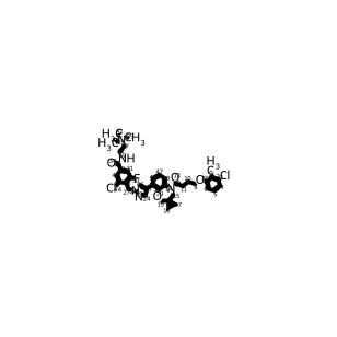 Cc1c(Cl)cccc1OCCCC(=O)N1CC2(CC2)COc2c(-c3cnn(Cc4c(F)cc(C(=O)NCC[N+](C)(C)C)cc4Cl)c3)cccc21